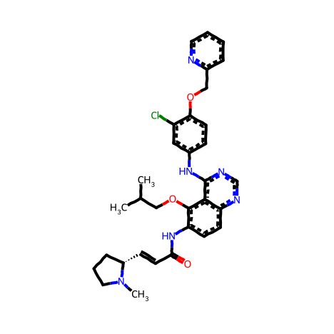 CC(C)COc1c(NC(=O)/C=C/[C@H]2CCCN2C)ccc2ncnc(Nc3ccc(OCc4ccccn4)c(Cl)c3)c12